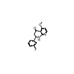 COc1ccnc2c1C(=O)CC(c1cccc(F)c1)N2